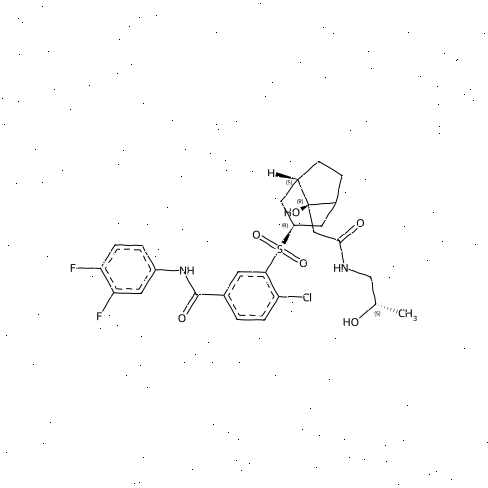 C[C@H](O)CNC(=O)C[C@@]1(O)C2CC[C@H]1C[C@H](S(=O)(=O)c1cc(C(=O)Nc3ccc(F)c(F)c3)ccc1Cl)C2